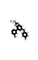 Nc1nc2c(-c3cccc(Br)c3)cc(Cc3ccc(F)cc3)cc2s1